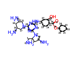 NC[C@@H]1C[C@H](N)CN1c1nc(Nc2ccc(C(=O)Oc3ccccc3)c(O)c2)nc(N2C[C@H](N)C[C@H](N)C2)n1